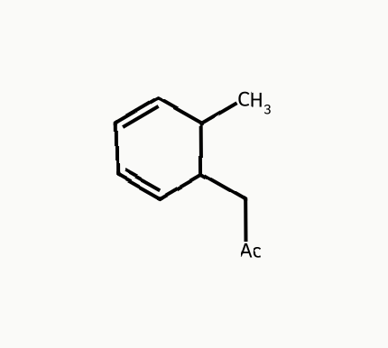 CC(=O)CC1C=CC=CC1C